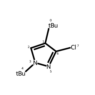 CC(C)(C)c1cn(C(C)(C)C)nc1Cl